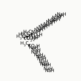 CC(=O)O.CC(=O)O.CC(=O)O.CC(=O)O.CC(=O)O.[NaH].[NaH].[NaH].[NaH].[NaH].[NaH].[NaH].[NaH].[NaH].[NaH].[NaH].[NaH].[NaH].[NaH].[NaH].[NaH].[NaH].[NaH].[NaH].[NaH].[NaH].[NaH].[NaH]